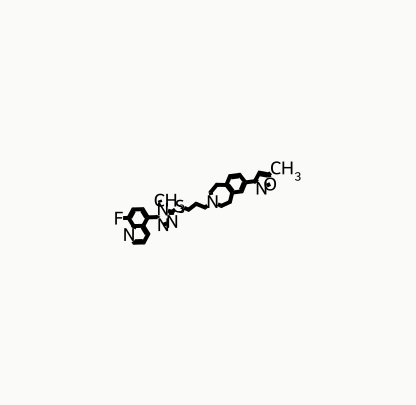 Cc1cc(-c2ccc3c(c2)CCN(CCCSc2nnc(-c4ccc(F)c5ncccc45)n2C)CC3)no1